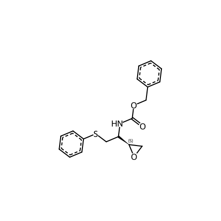 O=C(NC(CSc1ccccc1)[C@H]1CO1)OCc1ccccc1